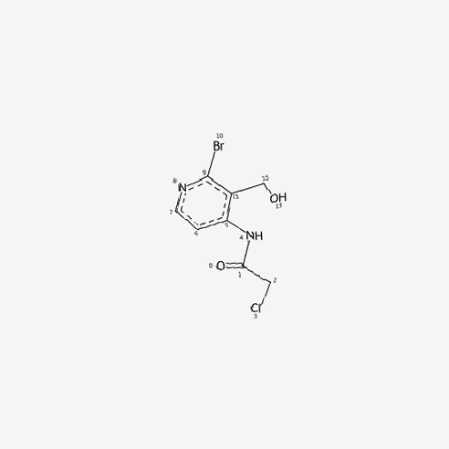 O=C(CCl)Nc1ccnc(Br)c1CO